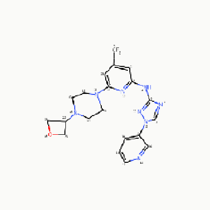 FC(F)(F)c1cc(Nc2ncn(-c3cccnc3)n2)nc(N2CCN(C3COC3)CC2)c1